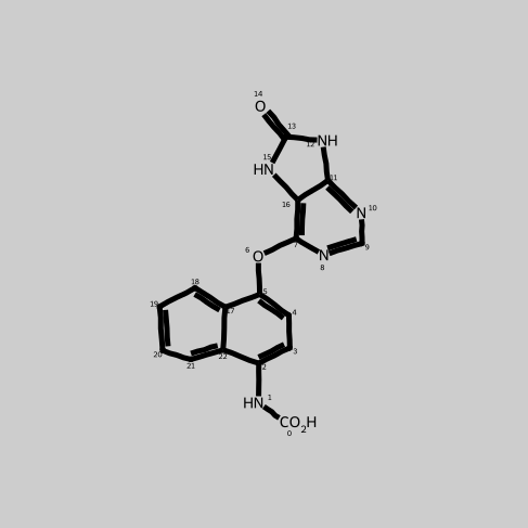 O=C(O)Nc1ccc(Oc2ncnc3[nH]c(=O)[nH]c23)c2ccccc12